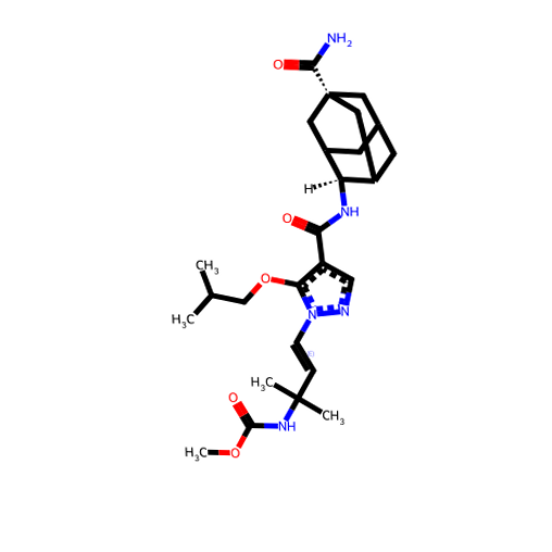 COC(=O)NC(C)(C)/C=C/n1ncc(C(=O)N[C@H]2C3CC4CC2C[C@](C(N)=O)(C4)C3)c1OCC(C)C